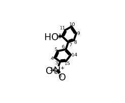 O=[N+]([O-])c1ccc(-c2ccccc2O)cc1